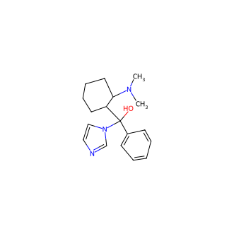 CN(C)C1CCCCC1C(O)(c1ccccc1)n1ccnc1